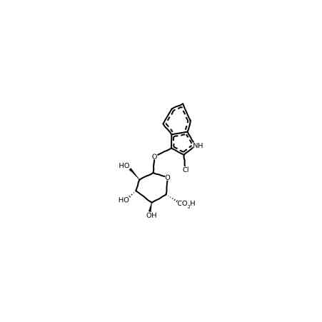 O=C(O)[C@H]1OC(Oc2c(Cl)[nH]c3ccccc23)[C@H](O)[C@@H](O)[C@@H]1O